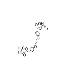 COC(Cc1ccc(OCCCOc2ccc(CC(OC)C(=O)O)cc2)cc1)C(=O)O